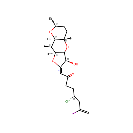 C=C(I)C[C@H](Cl)CCC(=O)/C=C1/O[C@@H]2C(O[C@H]3CC[C@H](CC)O[C@@H]3[C@@H]2C)[C@H]1O